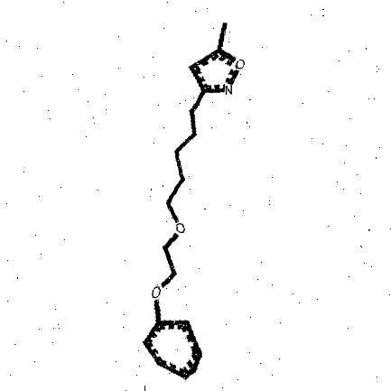 Cc1cc(CCCCCOCCOc2ccccc2)no1